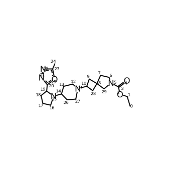 CCOC(=O)N1CCC2(CC(N3CCC(N4CCCC4c4nnc(C)o4)CC3)C2)C1